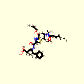 C#CCO[C@H](CC(C(C)C)N(C)C(=O)CCCC)c1nc(C(=O)NC(Cc2ccccc2)CC(C)C(=O)O)cs1